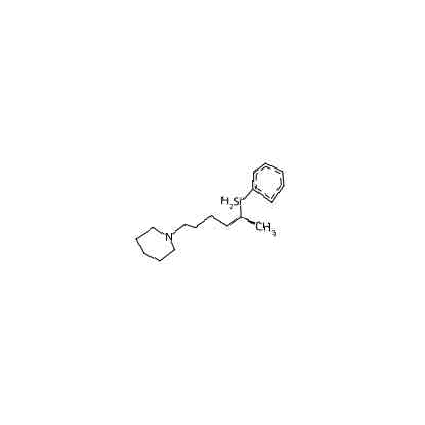 C[C@@H](CCCCN1CCCCC1)[SiH2]c1ccccc1